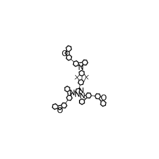 CC1(C)c2cc(-c3cc(-n4c5ccccc5c5cc(-c6ccc7oc8ccccc8c7c6)ccc54)nc(-n4c5ccccc5c5cc(-c6ccc7oc8ccccc8c7c6)ccc54)n3)cc3c2-c2c1cc(-n1c4ccccc4c4cc(-c5ccc6oc7ccccc7c6c5)ccc41)cc2C3(C)C